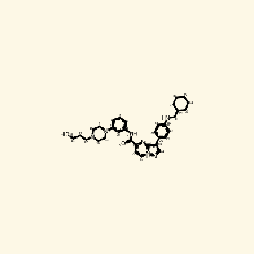 O=C(Nc1cccc(N2CCN(CCCO)CC2)c1)c1ccn2ncc(-c3ccc(NCC4CCCCC4)cc3)c2n1